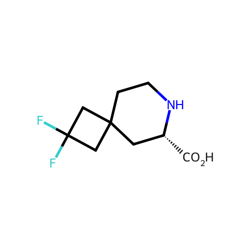 O=C(O)[C@@H]1CC2(CCN1)CC(F)(F)C2